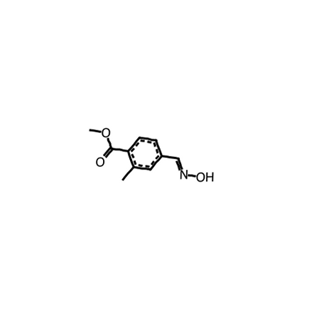 COC(=O)c1ccc(C=NO)cc1C